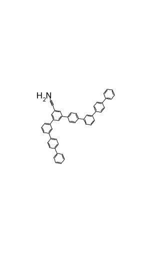 NC#Cc1cc(-c2ccc(-c3cccc(-c4ccc(-c5ccccc5)cc4)c3)cc2)cc(-c2cccc(-c3ccc(-c4ccccc4)cc3)c2)c1